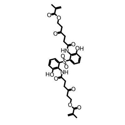 C=C(C)C(=O)OCCC(=O)CCC(=O)Nc1c(O)cccc1S(=O)(=O)c1cccc(O)c1NC(=O)CCC(=O)CCOC(=O)C(=C)C